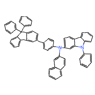 c1ccc(-n2c3ccccc3c3ccc(N(c4ccc(-c5ccc6c(c5)-c5ccccc5C6(c5ccccc5)c5ccccc5)cc4)c4ccc5ccccc5c4)cc32)cc1